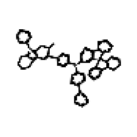 CC1Cc2c(c3c(n2-c2ccccc2)CCCC3)C=C1c1ccc(N(c2ccc(-c3ccccc3)cc2)c2ccc3c(c2)[C@]2(C4=C(CCC=C4)c4ccccc42)c2ccccc2-3)cc1